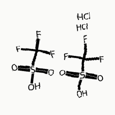 Cl.Cl.O=S(=O)(O)C(F)(F)F.O=S(=O)(O)C(F)(F)F